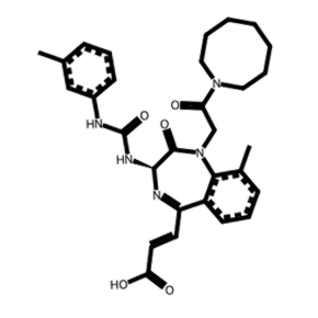 Cc1cccc(NC(=O)N[C@@H]2N=C(C=CC(=O)O)c3cccc(C)c3N(CC(=O)N3CCCCCCC3)C2=O)c1